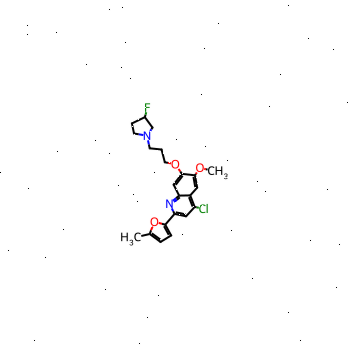 COc1cc2c(Cl)cc(-c3ccc(C)o3)nc2cc1OCCCN1CCC(F)C1